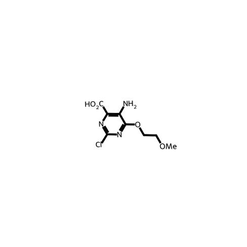 COCCOc1nc(Cl)nc(C(=O)O)c1N